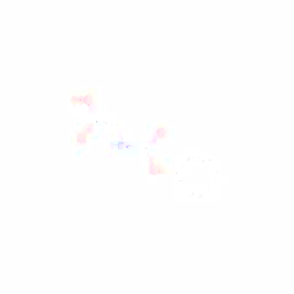 O=C(O)[CH]NC(=O)Oc1ccccc1